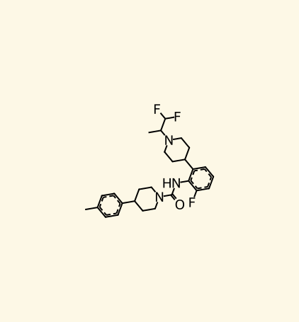 Cc1ccc(C2CCN(C(=O)Nc3c(F)cccc3C3CCN(C(C)C(F)F)CC3)CC2)cc1